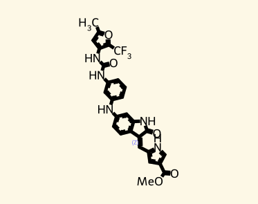 COC(=O)c1c[nH]c(/C=C2\C(=O)Nc3cc(Nc4cccc(NC(=O)Nc5cc(C)oc5C(F)(F)F)c4)ccc32)c1